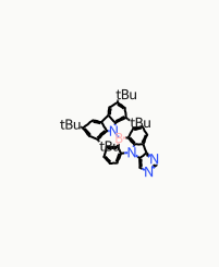 CC(C)(C)c1cc(C(C)(C)C)c2c(c1)c1cc(C(C)(C)C)cc(C(C)(C)C)c1n2B1c2ccccc2-n2c3cncnc3c3cccc1c32